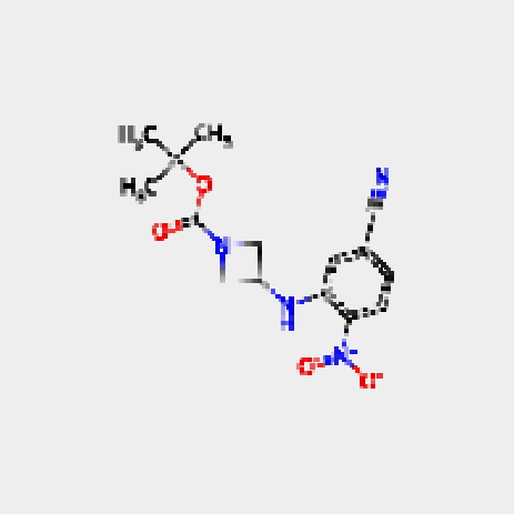 CC(C)(C)OC(=O)N1CC(Nc2cc(C#N)ccc2[N+](=O)[O-])C1